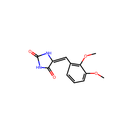 COc1cccc(/C=C2/NC(=O)NC2=O)c1OC